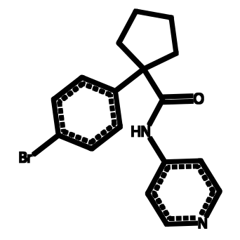 O=C(Nc1ccncc1)C1(c2ccc(Br)cc2)CCCC1